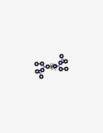 C[Si](C)(c1ccc(N(c2cccc(-c3ccccc3)c2)c2ccc3c(c2)c2ccccc2n3-c2ccccc2)cc1)c1ccc(N(c2cccc(-c3ccccc3)c2)c2ccc3c(c2)c2ccccc2n3-c2ccccc2)cc1